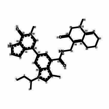 CCC(C)n1cc(C)c2c(C(=O)NCC3=C4CCCC=C4N(C)CC3=O)cc(-c3cn(C)c(=O)c4[nH]ccc34)cc21